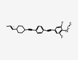 C/C=C/C1CCC(C#Cc2ccc(C#Cc3cc(F)c(N=C=S)c(F)c3)cc2)CC1